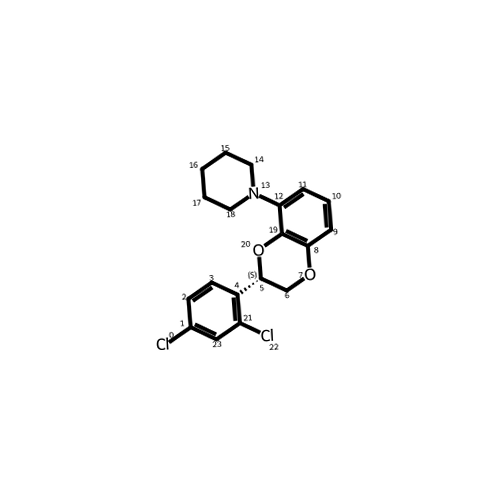 Clc1ccc([C@H]2COc3cccc(N4CCCCC4)c3O2)c(Cl)c1